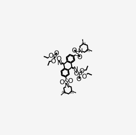 CCOP(=O)(OCC)ON=C1c2ccc(S(=O)(=O)N3C[C@H](C)C[C@H](C)C3)cc2C(=NOP(=O)(OCC)OCC)c2cc(S(=O)(=O)N3C[C@H](C)C[C@H](C)C3)ccc21